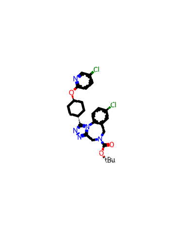 CC(C)(C)OC(=O)N1Cc2cc(Cl)ccc2-n2c(nnc2[C@H]2CC[C@H](Oc3ccc(Cl)cn3)CC2)C1